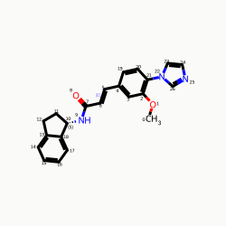 COc1cc(/C=C/C(=O)N[C@H]2CCc3ccccc32)ccc1-n1ccnc1